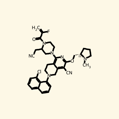 C=C(F)C(=O)N1CCN(c2nc(OC[C@@H]3CCCN3C)c(C#N)c3c2CCN(c2cccc4cccc(Cl)c24)C3)CC1CC#N